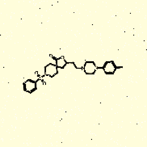 Cc1ccc(N2CCN(CCC3CC4(CCN(S(=O)(=O)c5ccccc5)CC4)C(=O)O3)CC2)cc1